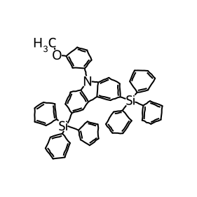 COc1cccc(-n2c3ccc([Si](c4ccccc4)(c4ccccc4)c4ccccc4)cc3c3cc([Si](c4ccccc4)(c4ccccc4)c4ccccc4)ccc32)c1